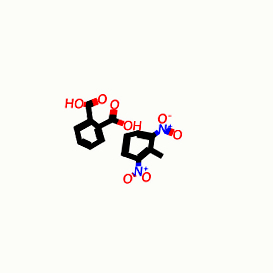 Cc1c([N+](=O)[O-])cccc1[N+](=O)[O-].O=C(O)c1ccccc1C(=O)O